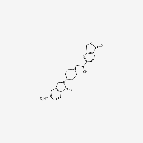 O=C1OCc2cc(C(O)CN3CCC(N4Cc5cc([N+](=O)[O-])ccc5C4=O)CC3)ccc21